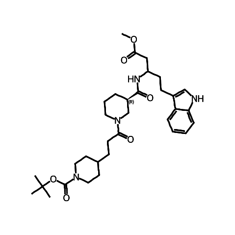 COC(=O)CC(CCc1c[nH]c2ccccc12)NC(=O)[C@@H]1CCCN(C(=O)CCC2CCN(C(=O)OC(C)(C)C)CC2)C1